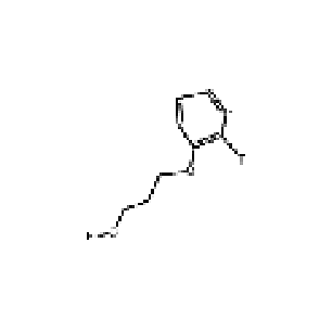 CCOCCCOc1ccc[c]c1F